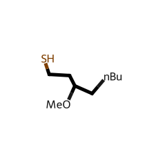 CCCCCC(CCS)OC